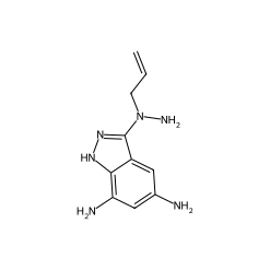 C=CCN(N)c1n[nH]c2c(N)cc(N)cc12